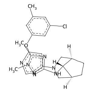 Cc1cc(Cl)cc(Oc2nc(N[C@@H]3[C@@H]4CC[C@H]3CN(c3cc(C)ncn3)C4)nn2C)c1